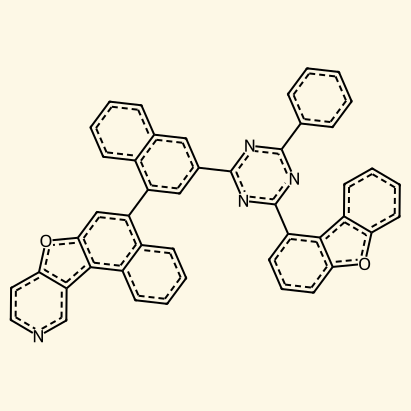 c1ccc(-c2nc(-c3cc(-c4cc5oc6ccncc6c5c5ccccc45)c4ccccc4c3)nc(-c3cccc4oc5ccccc5c34)n2)cc1